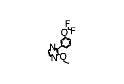 CCOc1nccnc1-c1cccc(OC(F)F)c1